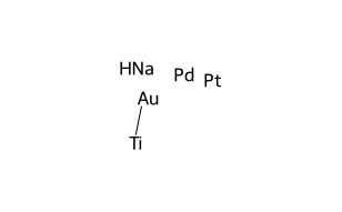 [NaH].[Pd].[Pt].[Ti][Au]